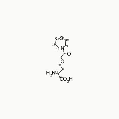 NC(CCOCC(=O)N1CCSSCC1)C(=O)O